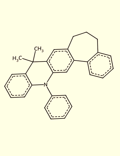 CC1(C)c2ccccc2N(c2ccccc2)c2cc3c(cc21)CCCc1ccccc1-3